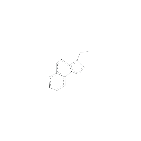 BrCc1noc2c1ccc1ccccc12